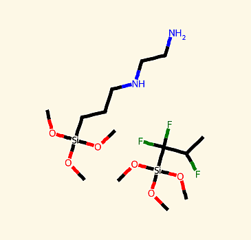 CO[Si](CCCNCCN)(OC)OC.CO[Si](OC)(OC)C(F)(F)C(C)F